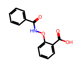 O=C(NOc1ccccc1C(=O)O)c1ccccc1